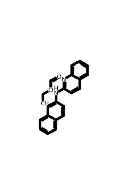 CCOC=O.c1ccc2cc(Nc3ccc4ccccc4n3)ccc2c1